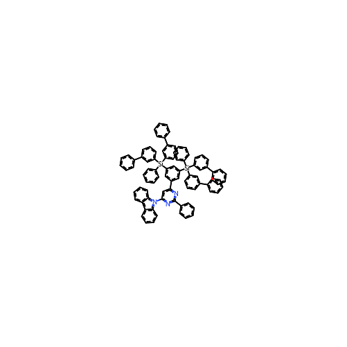 c1ccc(-c2cccc([Si](c3ccccc3)(c3cccc(-c4ccccc4)c3)c3cc(-c4cc(-n5c6ccccc6c6ccccc65)nc(-c5ccccc5)n4)cc([Si](c4ccccc4)(c4cccc(-c5ccccc5)c4)c4cccc(-c5ccccc5)c4)c3)c2)cc1